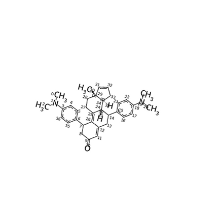 CN(C)c1ccc(C2CC(=O)C=C3CC(c4ccc(N(C)C)cc4)[C@@H]4C(=C32)CC[C@]2(C)C=CC[C@@H]42)cc1